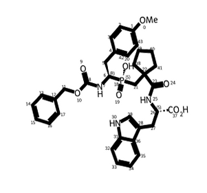 COc1ccc(C[C@H](NC(=O)OCc2ccccc2)[P@@](=O)(O)CC2(C(=O)N[C@@H](Cc3c[nH]c4ccccc34)C(=O)O)CCCC2)cc1